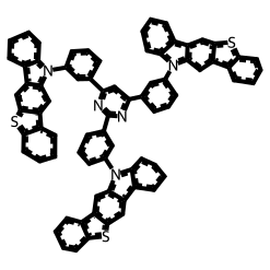 c1cc(-c2cc(-c3cccc(-n4c5ccccc5c5cc6sc7ccccc7c6cc54)c3)nc(-c3cccc(-n4c5ccccc5c5cc6sc7ccccc7c6cc54)c3)n2)cc(-n2c3ccccc3c3cc4sc5ccccc5c4cc32)c1